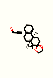 CC1(C)[C@@H]2CC[C@@]3(C#CC=O)CCCC=C3[C@@]2(C)CCC12OCCO2